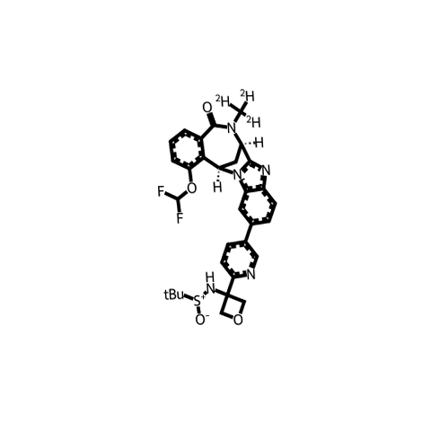 [2H]C([2H])([2H])N1C(=O)c2cccc(OC(F)F)c2[C@H]2C[C@@H]1c1nc3ccc(-c4ccc(C5(N[S+]([O-])C(C)(C)C)COC5)nc4)cc3n12